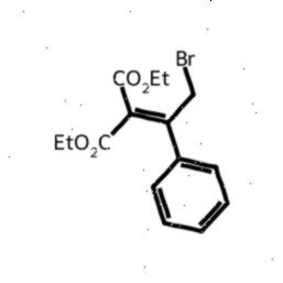 CCOC(=O)C(C(=O)OCC)=C(CBr)c1ccccc1